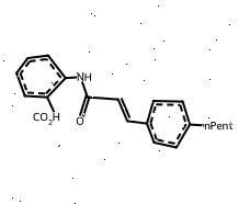 CCCCCc1ccc(C=CC(=O)Nc2ccccc2C(=O)O)cc1